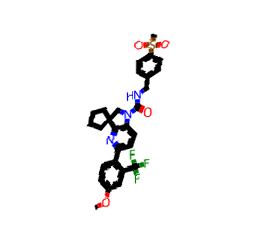 COc1ccc(-c2ccc3c(n2)C2(CCCC2)CN3C(=O)NCc2ccc(S(C)(=O)=O)cc2)c(C(F)(F)F)c1